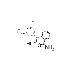 NC(=O)c1ccccc1[C@@H](CO)c1cc(F)cc(CF)c1